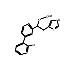 O=COC(Cc1c[nH]cn1)c1cccc(-c2cccnc2Cl)c1